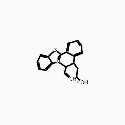 C=CC1C(CCO)c2ccccc2-c2sc3ccccc3[n+]21